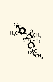 [C-]#[N+]c1ccc(N2C(=O)C(C)(C)N(C3CCN(S(=O)(=O)CC)CC3)C2=S)cc1C